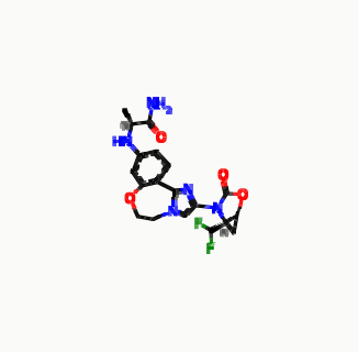 C[C@H](Nc1ccc2c(c1)OCCn1cc(N3C(=O)OC4C[C@@]43C(F)F)nc1-2)C(N)=O